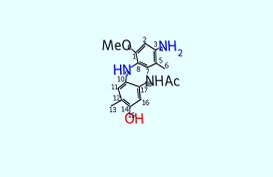 COc1cc(N)c(C)cc1Nc1cc(C)c(O)cc1NC(C)=O